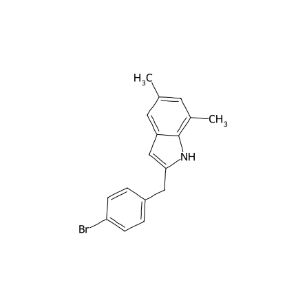 Cc1cc(C)c2[nH]c(Cc3ccc(Br)cc3)cc2c1